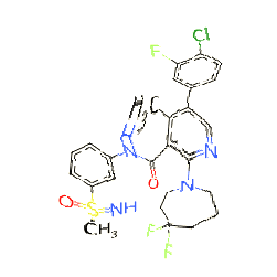 Cc1c(-c2ccc(Cl)c(F)c2)cnc(N2CCCC(F)(F)CC2)c1C(=O)Nc1cccc([S@](C)(=N)=O)c1